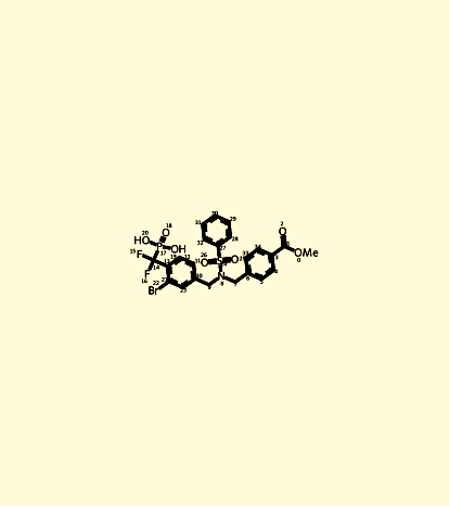 COC(=O)c1ccc(CN(Cc2ccc(C(F)(F)P(=O)(O)O)c(Br)c2)S(=O)(=O)c2ccccc2)cc1